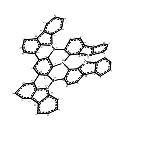 c1ccc2c(c1)oc1c3c(ccc12)B1c2c(cc4c5c2N3c2c(ccc3c2oc2ccccc23)B5n2c3ccccc3c3cccc-4c32)-c2cccc3c4ccccc4n1c23